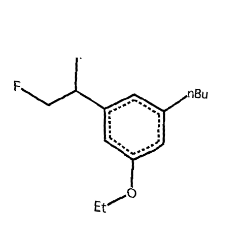 [CH2]C(CF)c1cc(CCCC)cc(OCC)c1